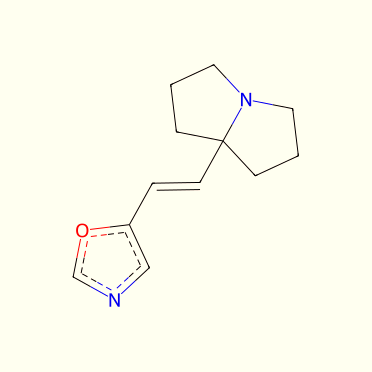 C(=CC12CCCN1CCC2)c1cnco1